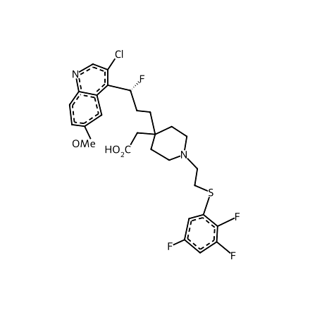 COc1ccc2ncc(Cl)c([C@H](F)CCC3(CC(=O)O)CCN(CCSc4cc(F)cc(F)c4F)CC3)c2c1